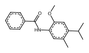 COc1cc(C(C)C)c(C)cc1NC(=O)c1ccccc1